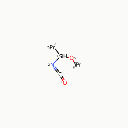 CCC[SiH](N=C=O)OC(C)C